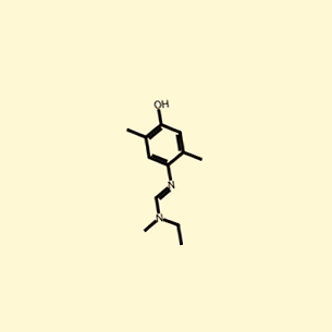 CCN(C)C=Nc1cc(C)c(O)cc1C